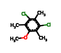 COc1c(C)c(Cl)c(C)c(Cl)c1C